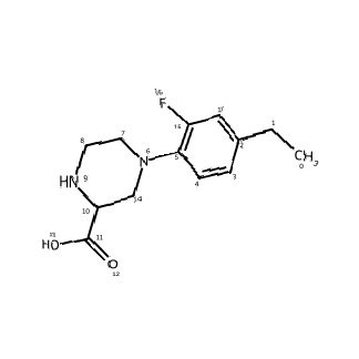 CCc1ccc(N2CCNC(C(=O)O)C2)c(F)c1